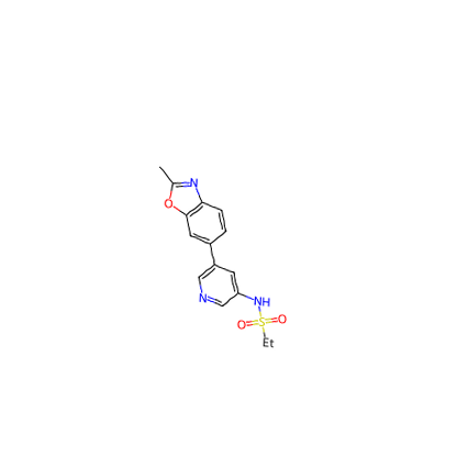 CCS(=O)(=O)Nc1cncc(-c2ccc3nc(C)oc3c2)c1